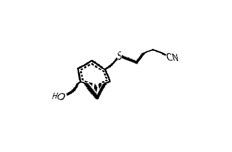 N#CCCSc1ccc(O)cc1